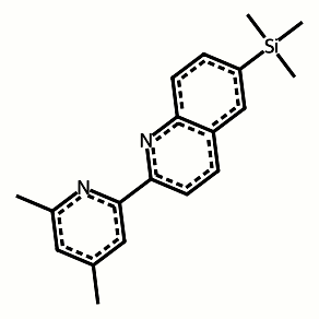 Cc1cc(C)nc(-c2ccc3cc([Si](C)(C)C)ccc3n2)c1